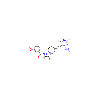 COc1cccc(C(=O)N[C@@H](C)C(=O)N2CCC[C@H](CCc3c(N)nc(C)nc3Cl)CC2)c1